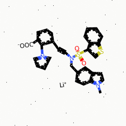 Cn1ccc2cc(CN(C#Cc3cccc(C(=O)[O-])c3-n3cccc3)S(=O)(=O)c3csc4ccccc34)ccc21.[Li+]